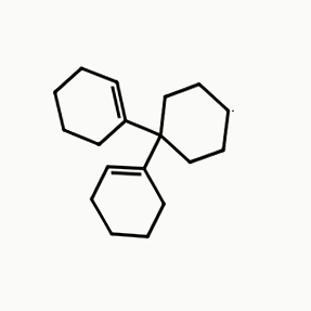 [CH]1CCC(C2=CCCCC2)(C2=CCCCC2)CC1